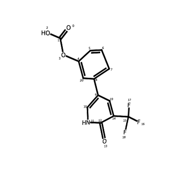 O=C(O)Oc1cccc(-c2c[nH]c(=O)c(C(F)(F)F)c2)c1